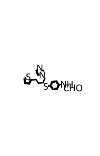 O=CNc1ccc(SC(CCc2cccs2)Cn2ccnc2)cc1